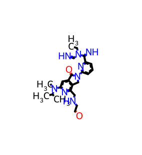 CCN(C=N)C(=N)c1cccc(N2Cc3c(cc(N(C)C(C)C)nc3CNCC=O)C2=O)n1